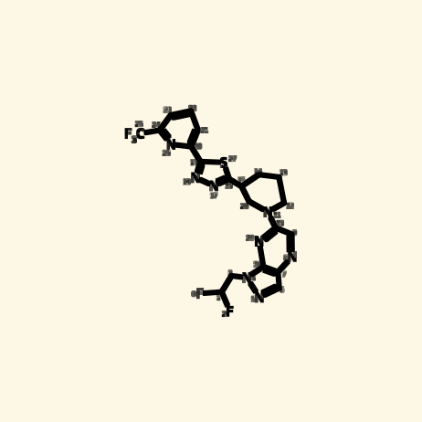 FC(F)Cn1ncc2ncc(N3CCCC(c4nnc(-c5cccc(C(F)(F)F)n5)s4)C3)nc21